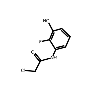 N#Cc1cccc(NC(=O)CCl)c1F